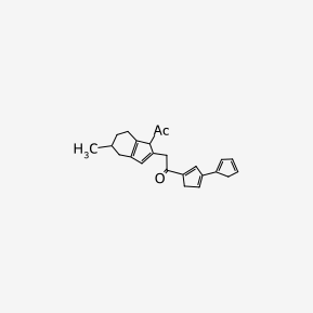 CC(=O)C1C(CC(=O)C2=CC(C3=CC=CC3)=CC2)=CC2=C1CCC(C)C2